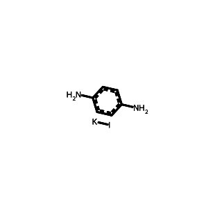 Nc1ccc(N)cc1.[K][I]